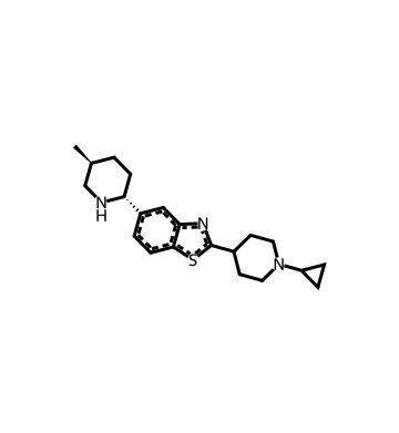 C[C@H]1CC[C@H](c2ccc3sc(C4CCN(C5CC5)CC4)nc3c2)NC1